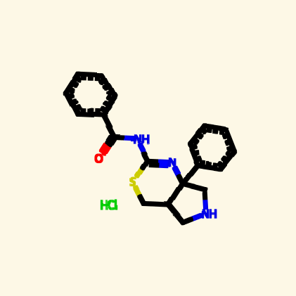 Cl.O=C(NC1=NC2(c3ccccc3)CNCC2CS1)c1ccccc1